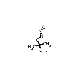 CC(C)(C)ON=NO